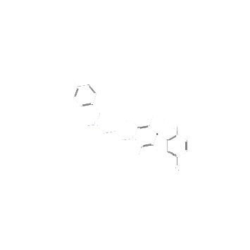 CC1=C(C(=O)O)C(C)(c2cc([N+](=O)[O-])ccc2Cl)C(C(=O)O)=C(C)N1CCCN(C)Cc1ccc(C(F)(F)F)cc1